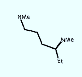 CCC(CCCNC)NC